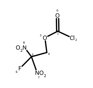 O=C(Cl)OCC(F)([N+](=O)[O-])[N+](=O)[O-]